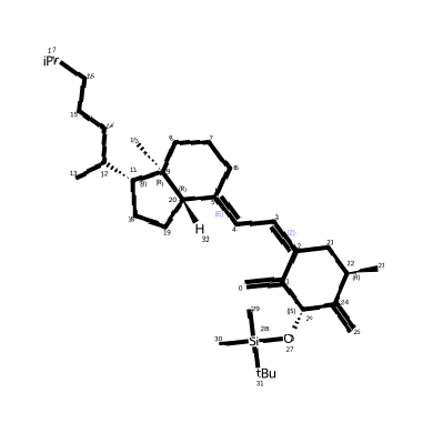 C=C1/C(=C\C=C2/CCC[C@]3(C)[C@@H](C(C)CCCC(C)C)CC[C@@H]23)C[C@@H](C)C(=C)[C@@H]1O[Si](C)(C)C(C)(C)C